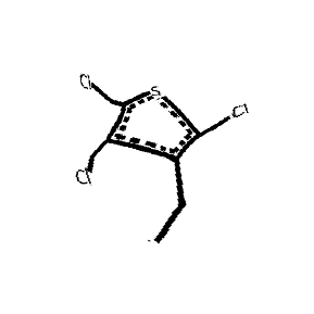 [CH2]Cc1c(Cl)sc(Cl)c1Cl